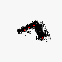 Cl.Cl.Cl.Nc1ncc(-c2cncc(C(=O)O)c2)s1.Nc1ncc(-c2cncc(C(=O)O)c2)s1.Nc1ncc(-c2cncc(C(=O)O)c2)s1.Nc1ncc(-c2cncc(C(=O)O)c2)s1.Nc1ncc(-c2cncc(C(=O)O)c2)s1.Nc1ncc(-c2cncc(C(=O)O)c2)s1.Nc1ncc(-c2cncc(C(=O)O)c2)s1.Nc1ncc(-c2cncc(C(=O)O)c2)s1.Nc1ncc(-c2cncc(C(=O)O)c2)s1